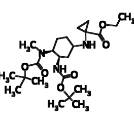 CCOC(=O)C1(NC2CC[C@H](N(C)C(=O)OC(C)(C)C)[C@H](NC(=O)OC(C)(C)C)C2)CC1